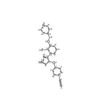 N#Cc1ccc(Oc2c[nH]nc2-c2cccc(OCc3ccncc3)c2F)cc1